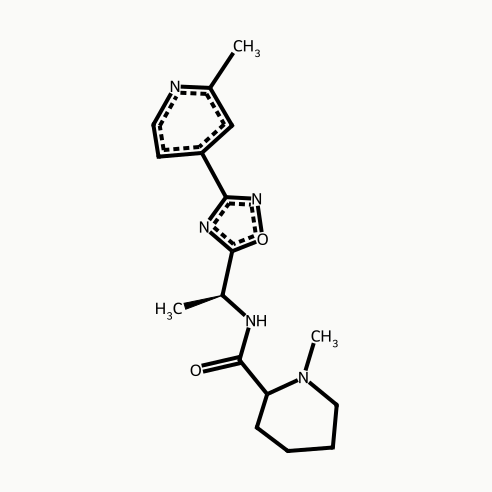 Cc1cc(-c2noc([C@H](C)NC(=O)C3CCCCN3C)n2)ccn1